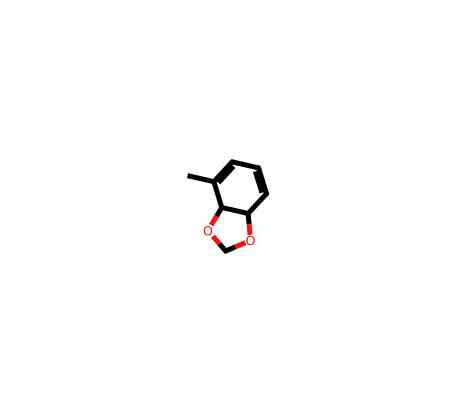 CC1=CC=CC2OCOC12